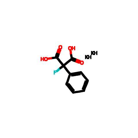 O=C(O)C(F)(C(=O)O)c1ccccc1.[KH].[KH]